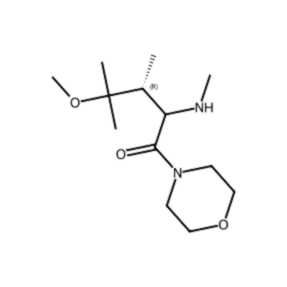 CNC(C(=O)N1CCOCC1)[C@@H](C)C(C)(C)OC